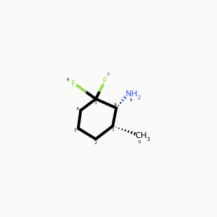 C[C@@H]1CCCC(F)(F)[C@@H]1N